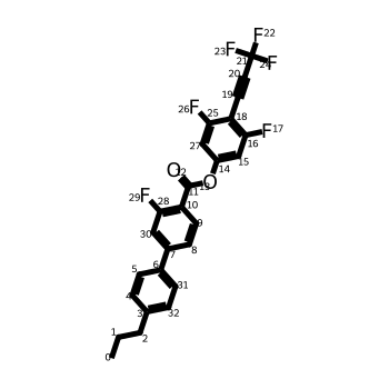 CCCc1ccc(-c2ccc(C(=O)Oc3cc(F)c(C#CC(F)(F)F)c(F)c3)c(F)c2)cc1